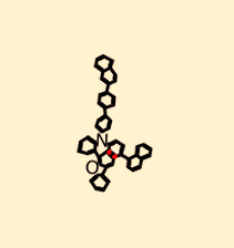 c1ccc(N(c2ccc(-c3ccc(-c4ccc5ccccc5c4)cc3)cc2)c2ccc(-c3cccc4ccccc34)cc2)c(-c2cccc3c2oc2ccccc23)c1